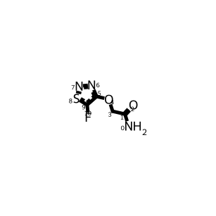 NC(=O)COc1nnsc1F